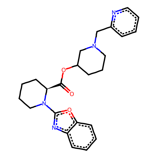 O=C(OC1CCCN(Cc2ccccn2)C1)[C@@H]1CCCCN1c1nc2ccccc2o1